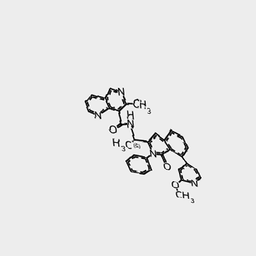 COc1cc(-c2cccc3cc([C@H](C)NC(=O)c4c(C)ncc5cccnc45)n(-c4ccccc4)c(=O)c23)ccn1